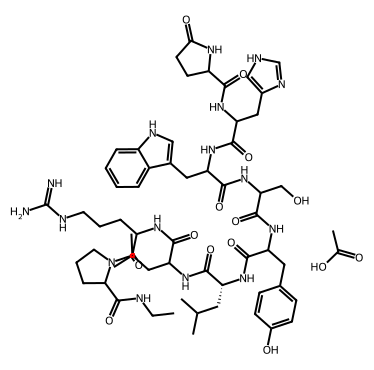 CC(=O)O.CCNC(=O)C1CCCN1C(=O)C(CCCNC(=N)N)NC(=O)C(CC(C)C)NC(=O)[C@@H](CC(C)C)NC(=O)C(Cc1ccc(O)cc1)NC(=O)C(CO)NC(=O)C(Cc1c[nH]c2ccccc12)NC(=O)C(Cc1c[nH]cn1)NC(=O)C1CCC(=O)N1